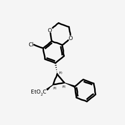 CCOC(=O)[C@@H]1[C@H](c2ccccc2)[C@H]1c1cc(Cl)c2c(c1)OCCO2